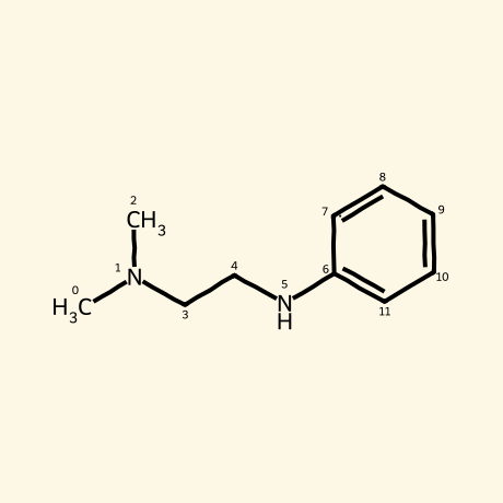 CN(C)CCNc1[c]cccc1